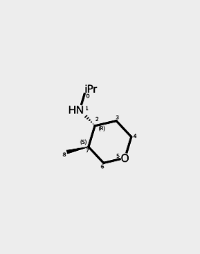 CC(C)N[C@@H]1CCOC[C@H]1C